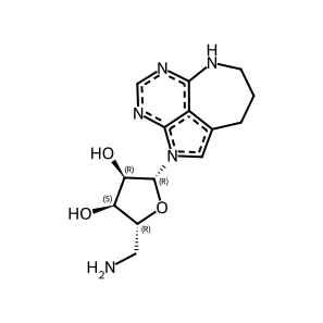 NC[C@H]1O[C@@H](n2cc3c4c(ncnc42)NCCC3)[C@H](O)[C@@H]1O